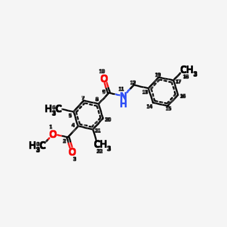 COC(=O)c1c(C)cc(C(=O)NCc2cccc(C)c2)cc1C